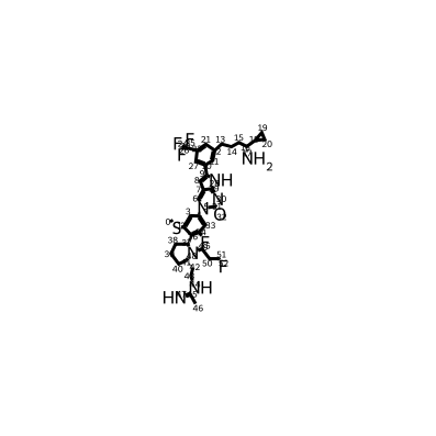 CSc1cc(-n2cc3cc(-c4cc(CCC[C@@H](N)C5CC5)cc(C(F)(F)F)c4)[nH]c3nc2=O)cc(F)c1[C@@H]1CCC[C@@H](CCNC(C)=N)N1CCCF